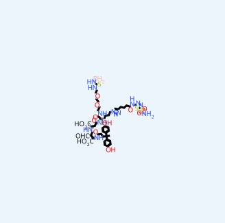 BNC(=S)NCCOCCOCCNC(=O)[C@H](CCCCn1cc(CCCC(=O)Nc2nnc(S(N)(=O)=O)s2)nn1)NC(=O)C[C@H](NCC(C=O)[C@H](NC(=O)CCC(C)(c1ccc(O)cc1)c1ccc(O)cc1)C(=O)O)C(=O)O